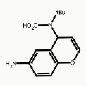 CC(C)(C)N(C(=O)O)C1C=COc2ccc(N)cc21